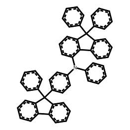 c1ccc(N(c2ccc(C3(c4ccccc4)c4ccccc4-c4ccccc43)cc2)c2cccc3c2-c2ccccc2C3(c2ccccc2)c2ccccc2)cc1